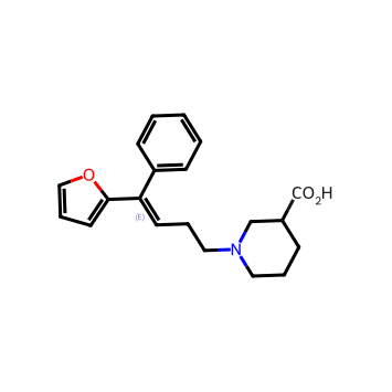 O=C(O)C1CCCN(CC/C=C(\c2ccccc2)c2ccco2)C1